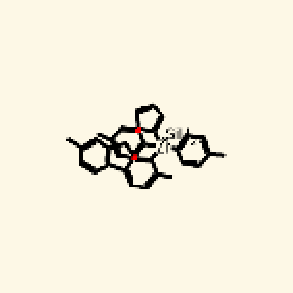 Cc1cc[c]([Zr](=[SiH2])([C]2=CC=CC2)([c]2ccc(C)cc2)[c]2c(C)ccc3c2Cc2cc(C)ccc2-3)cc1